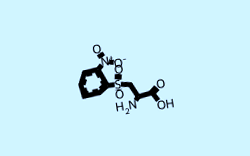 NC(CS(=O)(=O)c1ccccc1[N+](=O)[O-])C(=O)O